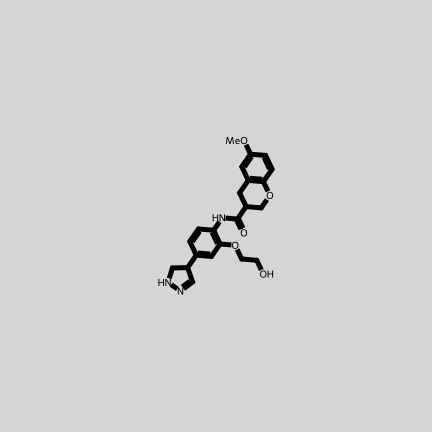 COc1ccc2c(c1)CC(C(=O)Nc1ccc(C3C=NNC3)cc1OCCO)CO2